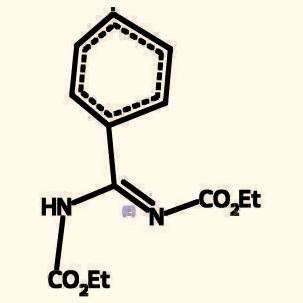 CCOC(=O)/N=C(/NC(=O)OCC)c1cc[c]cc1